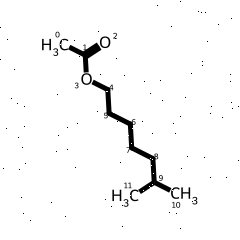 CC(=O)OCCCCCC(C)C